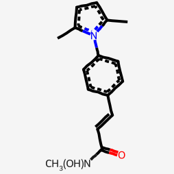 Cc1ccc(C)n1-c1ccc(/C=C/C(=O)N(C)O)cc1